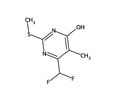 CSc1nc(O)c(C)c(C(F)F)n1